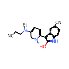 CCN(CCC#N)C1=CC=C(c2c(O)[nH]c3ccc(C#N)cc23)N(C)C1